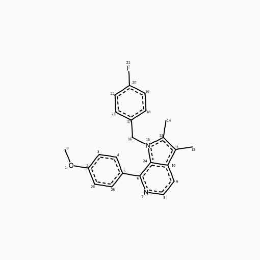 COc1ccc(-c2nccc3c(C)c(C)n(Cc4ccc(F)cc4)c23)cc1